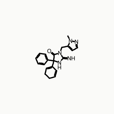 Cn1nccc1CN1C(=N)NC(C2=CCCC=C2)(c2ccccc2)C1=O